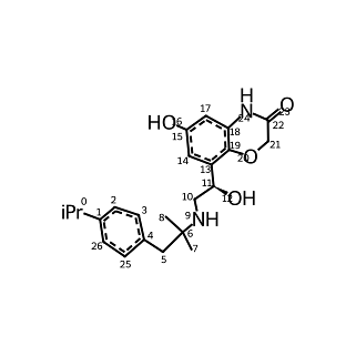 CC(C)c1ccc(CC(C)(C)NC[C@H](O)c2cc(O)cc3c2OCC(=O)N3)cc1